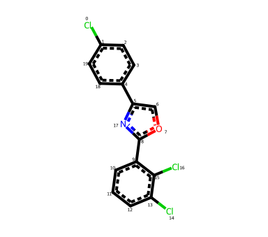 Clc1ccc(-c2coc(-c3cccc(Cl)c3Cl)n2)cc1